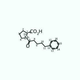 O=C(O)[C@@H]1CCCN1C(=O)CCCCc1ccccc1